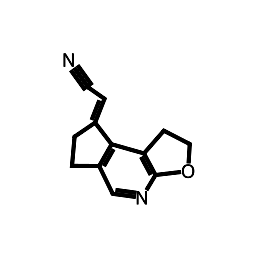 N#C/C=C1\CCc2cnc3c(c21)CCO3